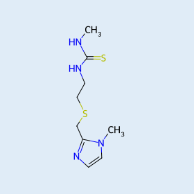 CNC(=S)NCCSCc1nccn1C